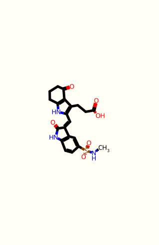 CNS(=O)(=O)c1ccc2c(c1)/C(=C/c1[nH]c3c(c1CCC(=O)O)C(=O)CCC3)C(=O)N2